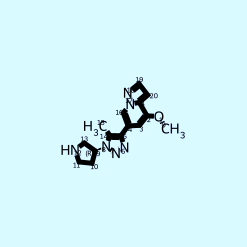 COc1cc(-c2nnn([C@@H]3CCNC3)c2C)cn2nccc12